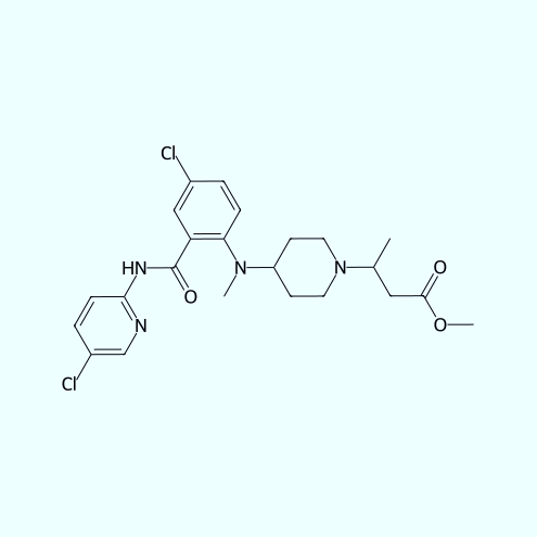 COC(=O)CC(C)N1CCC(N(C)c2ccc(Cl)cc2C(=O)Nc2ccc(Cl)cn2)CC1